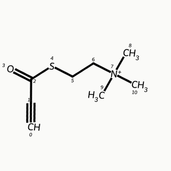 C#CC(=O)SCC[N+](C)(C)C